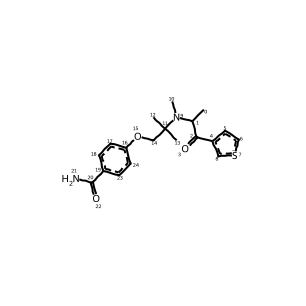 CC(C(=O)c1ccsc1)N(C)C(C)(C)COc1ccc(C(N)=O)cc1